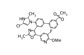 COc1ncc(-c2oc(C)nc2-c2cc(-c3cccc(S(C)(=O)=O)c3)ccc2N2C=C(Cl)NC2C)cc1F